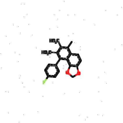 Cc1c(C(=O)O)c(C(=O)O)c(-c2ccc(F)cc2)c2c3c(ccc12)OCO3